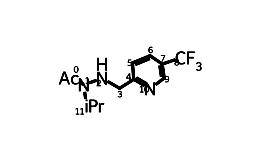 CC(=O)N(NCc1ccc(C(F)(F)F)cn1)C(C)C